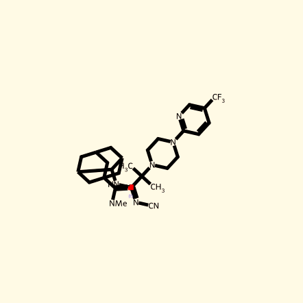 CNC(=O)C12CC3CC(C1)C(N/C(=N/C#N)C(C)(C)N1CCN(c4ccc(C(F)(F)F)cn4)CC1)C(C3)C2